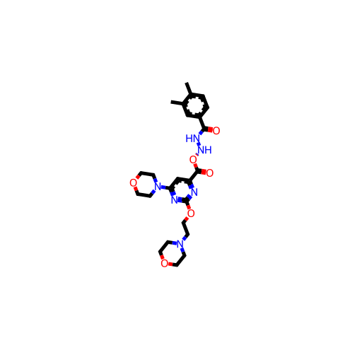 Cc1ccc(C(=O)NNOC(=O)c2cc(N3CCOCC3)nc(OCCN3CCOCC3)n2)cc1C